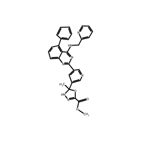 COC(=O)C1=NNC(C)(c2cncc(-c3nc(NCc4ccccn4)c4c(-c5ccccc5)cccc4n3)c2)O1